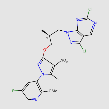 COc1ncc(F)cc1-n1nc(OC[C@@H](C)Cn2nc(Cl)c3cnc(Cl)nc32)c([N+](=O)[O-])c1C